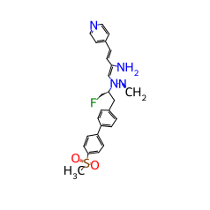 C=NN(/C=C(N)/C=C/c1ccncc1)[C@H](CF)Cc1ccc(-c2ccc(S(C)(=O)=O)cc2)cc1